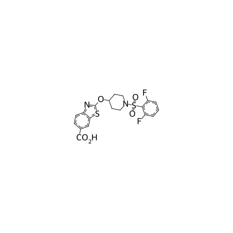 O=C(O)c1ccc2nc(OC3CCN(S(=O)(=O)c4c(F)cccc4F)CC3)sc2c1